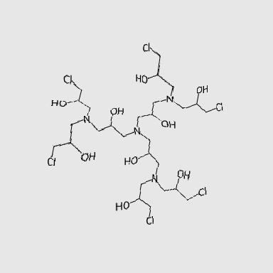 OC(CCl)CN(CC(O)CCl)CC(O)CN(CC(O)CN(CC(O)CCl)CC(O)CCl)CC(O)CN(CC(O)CCl)CC(O)CCl